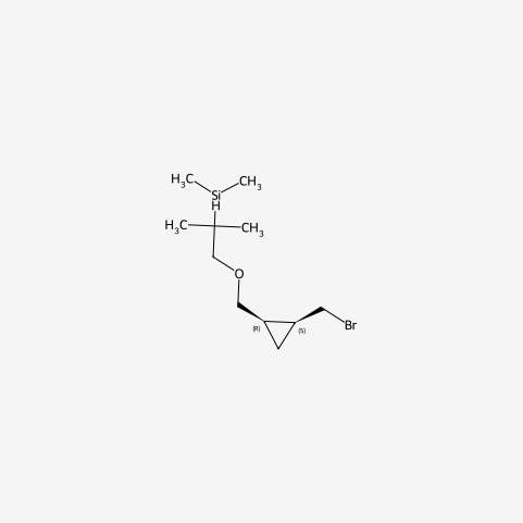 C[SiH](C)C(C)(C)COC[C@@H]1C[C@@H]1CBr